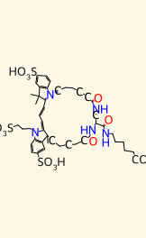 CC1(C)C2=[N+](CCCCCC(=O)NCC(C(=O)NCCCCCC(=O)O)NC(=O)CCCCCC3(C)/C(=C/C=C/2)N(CCCS(=O)(=O)O)c2ccc(S(=O)(=O)O)cc23)c2ccc(S(=O)(=O)O)cc21